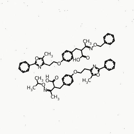 C/C(=N/OC(C)C)C(Cc1ccc(OCCc2nc(-c3ccccc3)oc2C)cc1)C(=O)O.C/C(=N\OCc1ccccc1)C(Cc1ccc(OCCc2nc(-c3ccccc3)oc2C)cc1)C(=O)O